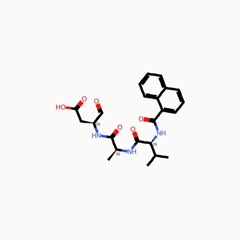 CC(C)[C@H](NC(=O)c1cccc2ccccc12)C(=O)N[C@@H](C)C(=O)N[C@H](C=O)CC(=O)O